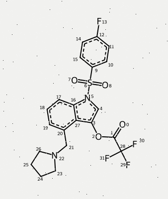 O=C(Oc1cn(S(=O)(=O)c2ccc(F)cc2)c2cccc(CN3CCCC3)c12)C(F)(F)F